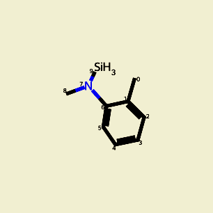 Cc1ccccc1N(C)[SiH3]